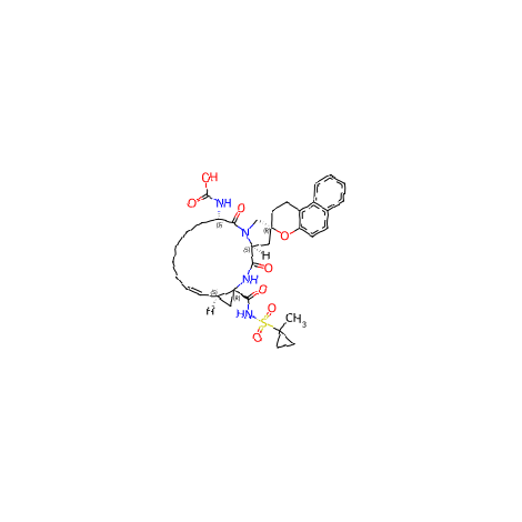 CC1(S(=O)(=O)NC(=O)[C@@]23C[C@H]2C=CCCCCC[C@H](NC(=O)O)C(=O)N2C[C@@]4(CCc5c(ccc6ccccc56)O4)C[C@H]2C(=O)N3)CC1